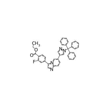 CCOC(=O)c1ccc(-c2cnc3ccc(-c4cnn(C(c5ccccc5)(c5ccccc5)c5ccccc5)c4)cn23)cc1F